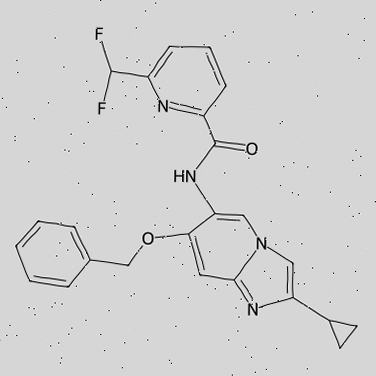 O=C(Nc1cn2cc(C3CC3)nc2cc1OCc1ccccc1)c1cccc(C(F)F)n1